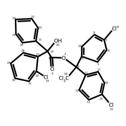 O=C(OC(c1ccc(Cl)cc1)(c1ccc(Cl)cc1)C(Cl)(Cl)Cl)C(O)(c1ccccc1)c1ccccc1Cl